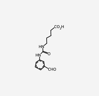 O=Cc1cccc(NC(=O)NCCCCC(=O)O)c1